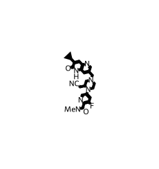 CNC(=O)c1ncc(N2CCN(Cc3cnc4cc(C5CC5)c(=O)[nH]c4c3)CC2CC#N)cc1F